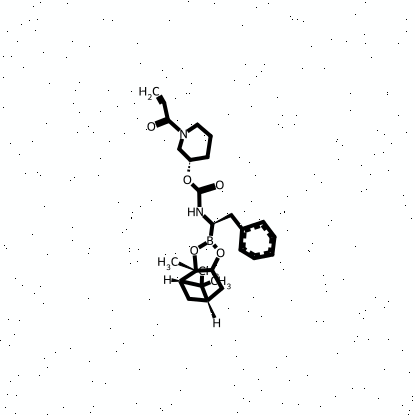 C=CC(=O)N1CCC[C@H](OC(=O)N[C@@H](Cc2ccccc2)B2OC3C[C@@H]4C[C@@H](C4(C)C)[C@]3(C)O2)C1